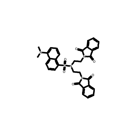 CN(C)c1cccc2c(S(=O)(=O)N(CCN3C(=O)c4ccccc4C3=O)CCN3C(=O)c4ccccc4C3=O)cccc12